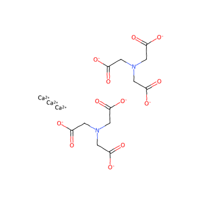 O=C([O-])CN(CC(=O)[O-])CC(=O)[O-].O=C([O-])CN(CC(=O)[O-])CC(=O)[O-].[Ca+2].[Ca+2].[Ca+2]